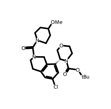 COC1CCN(C(=O)N2CCc3cc(Cl)cc([C@@H]4COCCN4C(=O)OC(C)(C)C)c3C2)CC1